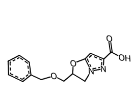 O=C(O)c1cc2n(n1)CC(COCc1ccccc1)O2